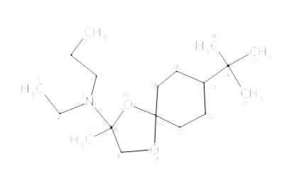 CCCN(CC)C1(C)COC2(CCC(C(C)(C)C)CC2)O1